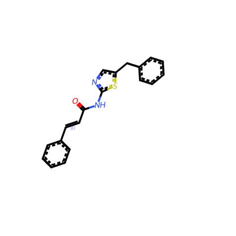 O=C(/C=C/c1ccccc1)Nc1ncc(Cc2ccccc2)s1